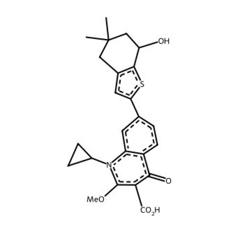 COc1c(C(=O)O)c(=O)c2ccc(-c3cc4c(s3)C(O)CC(C)(C)C4)cc2n1C1CC1